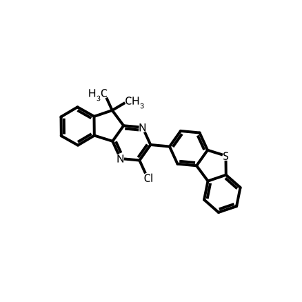 CC1(C)c2ccccc2-c2nc(Cl)c(-c3ccc4sc5ccccc5c4c3)nc21